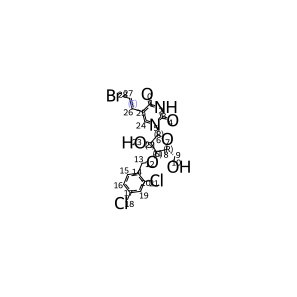 O=c1[nH]c(=O)n([C@@H]2O[C@H](CO)[C@@H](OCc3ccc(Cl)cc3Cl)[C@@H]2O)cc1/C=C/Br